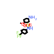 COc1ccc(N)cc1S(=O)(=O)Nc1ccc(C(F)(F)F)cc1